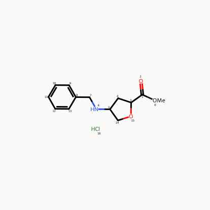 COC(=O)C1CC(NCc2ccccc2)CO1.Cl